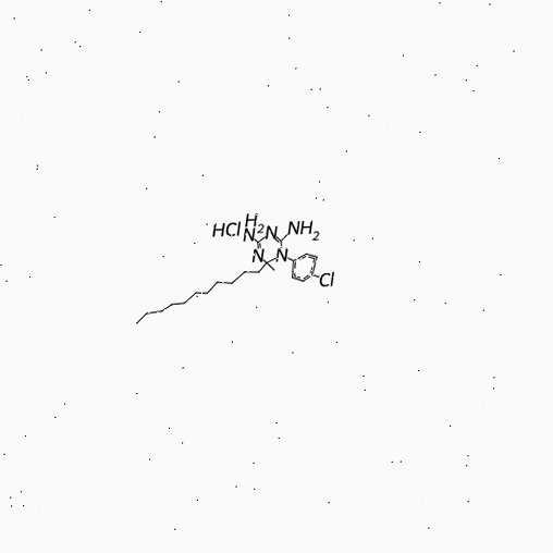 CCCCCCCCCCCC1(C)N=C(N)N=C(N)N1c1ccc(Cl)cc1.Cl